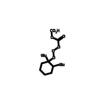 CC(C)(C)C1CCCCC1(OOOC(=O)OC(=O)O)C(C)(C)C